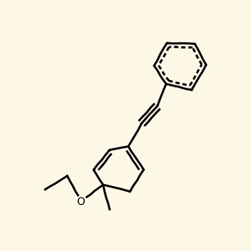 CCOC1(C)C=CC(C#Cc2ccccc2)=CC1